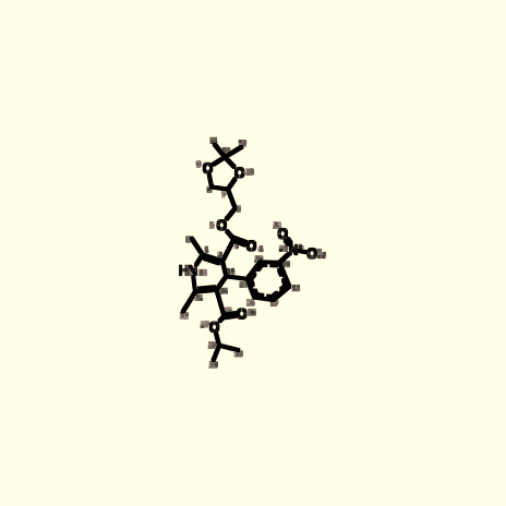 CC1=C(C(=O)OCC2COC(C)(C)O2)C(c2cccc([N+](=O)[O-])c2)C(C(=O)OC(C)C)=C(C)N1